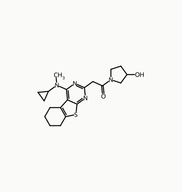 CN(c1nc(CC(=O)N2CCC(O)C2)nc2sc3c(c12)CCCC3)C1CC1